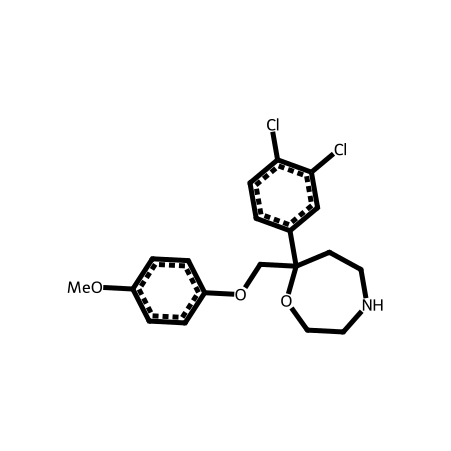 COc1ccc(OCC2(c3ccc(Cl)c(Cl)c3)CCNCCO2)cc1